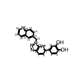 Oc1ccc(-c2ccc3nnn(Cc4ccc5ncccc5c4)c3n2)cc1O